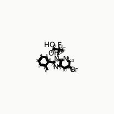 Cc1ccccc1-c1nc2cc(Br)cnc2[nH]1.O=C(O)C(F)(F)F